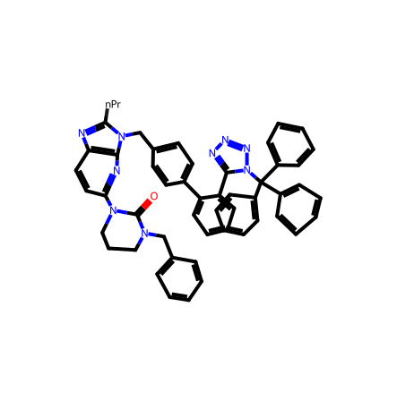 CCCc1nc2ccc(N3CCCN(Cc4ccccc4)C3=O)nc2n1Cc1ccc(-c2ccccc2-c2nnnn2C(c2ccccc2)(c2ccccc2)c2ccccc2)cc1